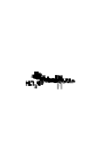 CSc1cnc(CCCCCCC(OS(=O)(=O)O)c2cc(C)no2)[nH]1